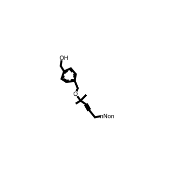 CCCCCCCCCCC#CC(C)(C)OCc1ccc(CO)cc1